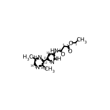 CCOC(=O)CC(=O)Nc1cc(-c2nc(C)cnc2C)n[nH]1